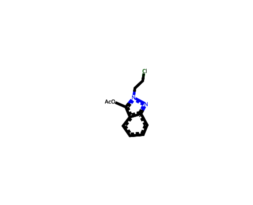 CC(=O)Oc1c2ccccc2nn1CCCl